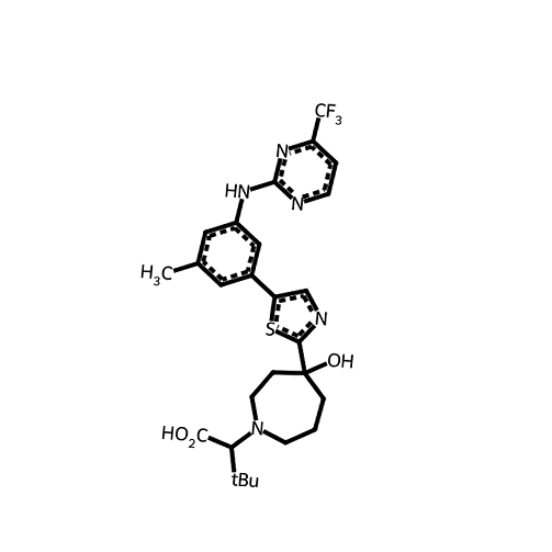 Cc1cc(Nc2nccc(C(F)(F)F)n2)cc(-c2cnc(C3(O)CCCN(C(C(=O)O)C(C)(C)C)CC3)s2)c1